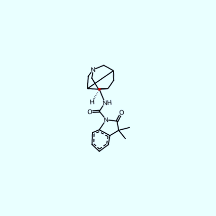 CC1(C)C(=O)N(C(=O)N[C@@H]2C3CCN4CC(C3)C2C4)c2ccccc21